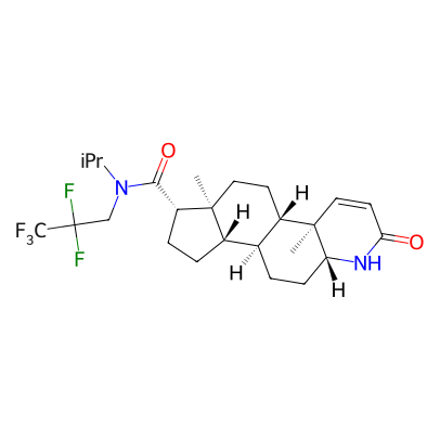 CC(C)N(CC(F)(F)C(F)(F)F)C(=O)[C@H]1CC[C@H]2[C@@H]3CC[C@H]4NC(=O)C=C[C@]4(C)[C@H]3CC[C@]12C